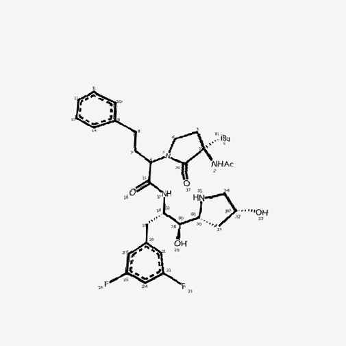 CC[C@@H](C)C1(NC(C)=O)CCN(C(CCc2ccccc2)C(=O)N[C@@H](Cc2cc(F)cc(F)c2)[C@H](O)[C@H]2C[C@@H](O)CN2)C1=O